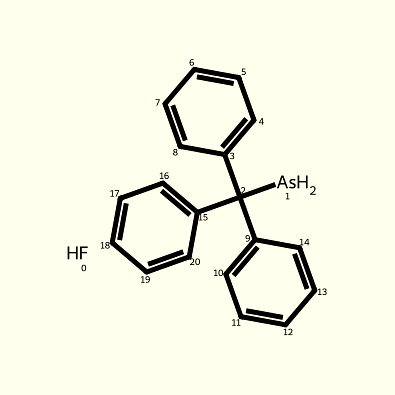 F.[AsH2]C(c1ccccc1)(c1ccccc1)c1ccccc1